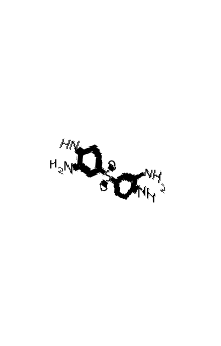 N=C1CC=C(S(=O)(=O)C2=CCC(=N)C(N)=C2)C=C1N